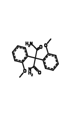 COc1ccccc1C(C(N)=O)(C(N)=O)c1ccccc1OC